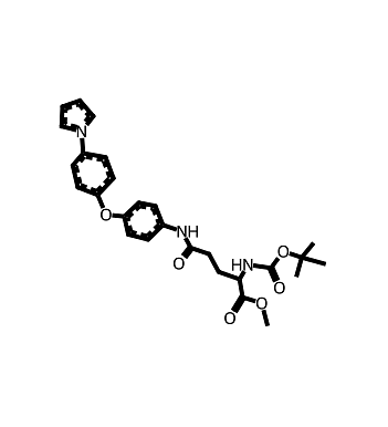 COC(=O)C(CCC(=O)Nc1ccc(Oc2ccc(-n3cccc3)cc2)cc1)NC(=O)OC(C)(C)C